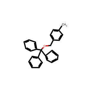 Cc1ccc(COC(c2ccccc2)(c2ccccc2)c2ccccc2)cc1